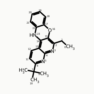 CCc1nc2nc(C(C)(C)C)ccc2c2c1Oc1ccccc1N2